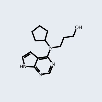 OCCCN(c1ncnc2[nH]ccc12)C1CCCC1